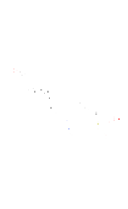 O=C/C=C/CN1CCS(=O)(=O)CC1